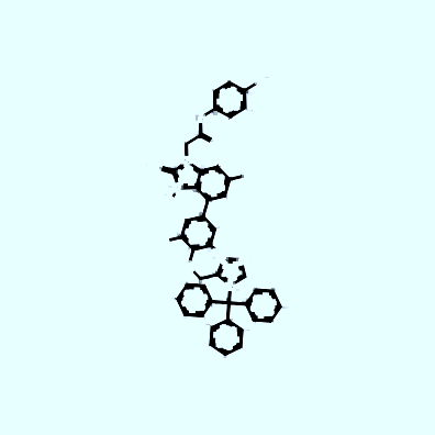 Cc1cc(-c2cc(C)c(OCc3nncn3C(c3ccccc3)(c3ccccc3)c3ccccc3)c(F)c2)c2c(c1)n(CC(=O)Nc1ccc(F)cc1)c(=O)n2C